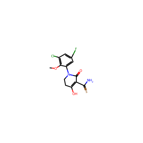 COc1c(Cl)cc(F)cc1N1CCC(O)=C(C(N)=S)C1=O